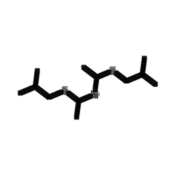 CC(C)CSC(C)[N]C(C)SCC(C)C